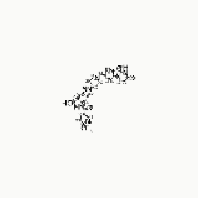 CC(C)(O)c1cc2nn(C3CCN(Cc4ccc(N5CCC(=O)NC5=O)nn4)CC3)cc2cc1NC(=O)c1ccc(C(F)(F)F)nc1